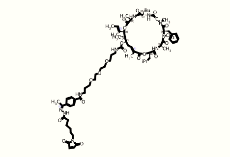 C/C=C(\C)[C@H]1OC(=O)[C@@H](C)NC(=O)[C@H]([C@H](C)CC)NC(=O)CN(C)C(=O)[C@@H](Cc2ccccc2)N(C)C(=O)[C@H](C)NC(=O)[C@@H](CC(C)C)OC(=O)/C(C)=C/C[C@H](OC(=O)NCCCOCCOCCOCCCNC(=O)c2ccc(/C(C)=N\NC(=O)CCCCCN3C(=O)C=CC3=O)cc2)[C@@H]1C